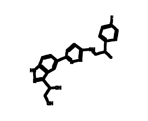 CC(CNc1ccc(-c2ccc3[nH]nc(C(O)CO)c3c2)nn1)c1ccc(F)cc1